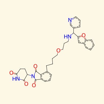 O=C1CCC(N2C(=O)c3cccc(CCCCOCCCNC(c4cccnc4)c4cc5ccccc5o4)c3C2=O)C(=O)N1